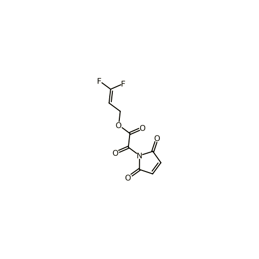 O=C(OCC=C(F)F)C(=O)N1C(=O)C=CC1=O